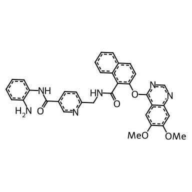 COc1cc2ncnc(Oc3ccc4ccccc4c3C(=O)NCc3ccc(C(=O)Nc4ccccc4N)cn3)c2cc1OC